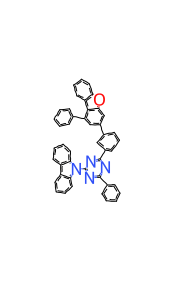 c1ccc(-c2nc(-c3cccc(-c4cc(-c5ccccc5)c5c(c4)oc4ccccc45)c3)nc(-n3c4ccccc4c4ccccc43)n2)cc1